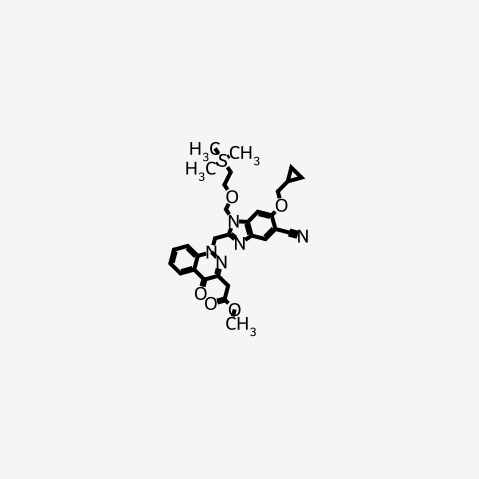 COC(=O)Cc1nn(Cc2nc3cc(C#N)c(OCC4CC4)cc3n2COCCS(C)(C)C)c2ccccc2c1=O